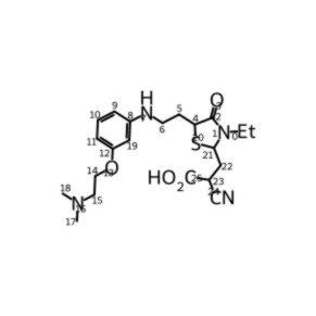 CCN1C(=O)C(CCNc2cccc(OCCN(C)C)c2)SC1CC(C#N)C(=O)O